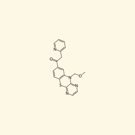 COCN1c2cc(C(=O)Cc3ccccn3)ccc2Sc2nccnc21